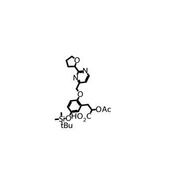 CC(=O)OC(Cc1cc(O[Si](C)(C)C(C)(C)C)ccc1OCc1ccnc(C2CCCO2)n1)C(=O)O